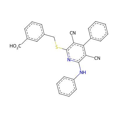 N#Cc1c(Nc2ccccc2)nc(SCc2cccc(C(=O)O)c2)c(C#N)c1-c1ccccc1